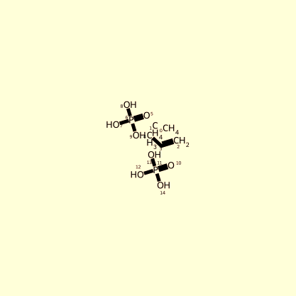 C.C.C=CC.O=P(O)(O)O.O=P(O)(O)O